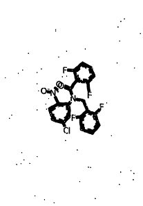 O=C(c1c(F)cccc1F)N(Cc1c(F)cccc1F)c1cc(Cl)ccc1[N+](=O)[O-]